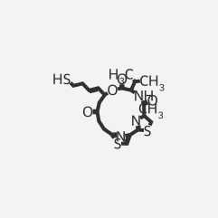 CC(C)C1NC(=O)[C@]2(C)CSC(=N2)c2csc(n2)CCC(=O)CC(/C=C/CCS)OC1=O